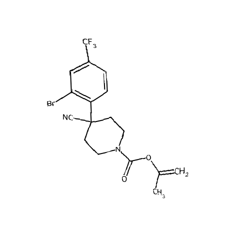 C=C(C)OC(=O)N1CCC(C#N)(c2ccc(C(F)(F)F)cc2Br)CC1